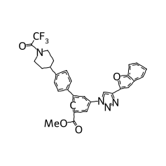 COC(=O)c1cc(-c2ccc(C3CCN(C(=O)C(F)(F)F)CC3)cc2)cc(-n2cc(-c3cc4ccccc4o3)nn2)c1